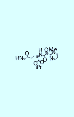 CO[C@H](C(=O)N[C@@H](CCC(=O)C=N)C(=O)OC(C)C)c1ncccn1